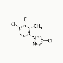 Cc1c(-n2cc(Cl)cn2)ccc(Cl)c1F